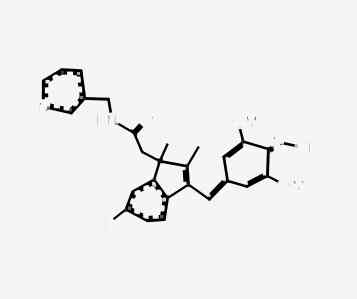 COC1=CC(=CC2=C(C)C(C)(CC(=O)NCc3cccnc3)c3cc(F)ccc32)C=C(OC)C1=NO